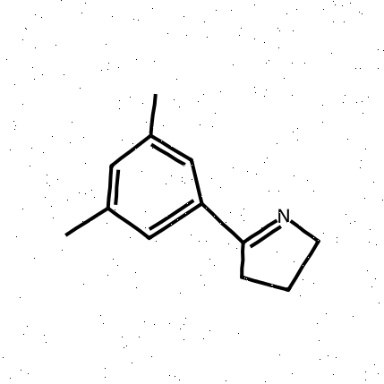 Cc1cc(C)cc(C2=NCCC2)c1